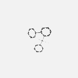 CCC(CC)(c1ccccc1)c1ccccc1-c1ccccc1